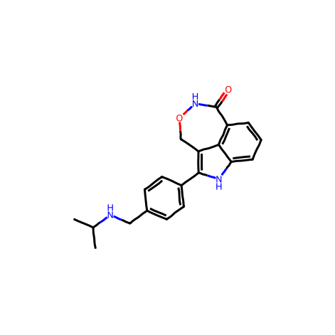 CC(C)NCc1ccc(-c2[nH]c3cccc4c3c2CONC4=O)cc1